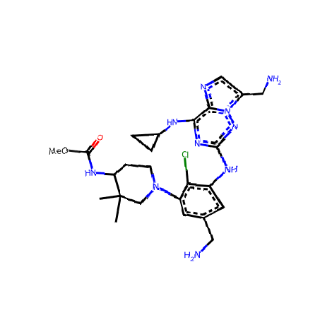 COC(=O)NC1CCN(c2cc(CN)cc(Nc3nc(NC4CC4)c4ncc(CN)n4n3)c2Cl)CC1(C)C